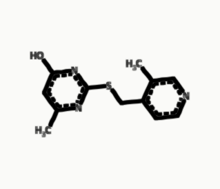 Cc1cc(O)nc(SCc2ccncc2C)n1